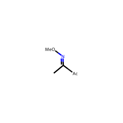 CO/N=C(\C)C(C)=O